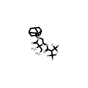 CCC(C)(C)C(=O)OC12CC3CC(C1)C(OCCOC(=O)C(C(F)(F)F)C(F)(F)F)C(C3)C2